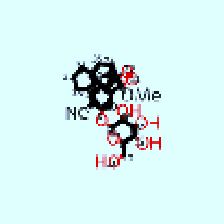 COC1(c2ccc(C#N)c(O[C@@H]3OC(CO)[C@@H](O)[C@H](O)C3O)c2)OOC12C1CCCC2C2=C(CCCC2)C1